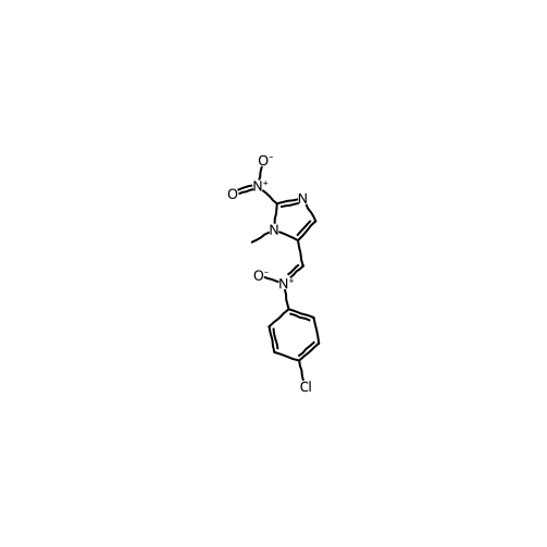 Cn1c(C=[N+]([O-])c2ccc(Cl)cc2)cnc1[N+](=O)[O-]